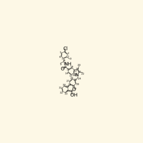 Cc1cc(Cl)ccc1C(C)NC(=O)c1ccc2c(c1)c(C)c(C)n2Cc1ccc(-c2ccccc2C(=O)O)cc1